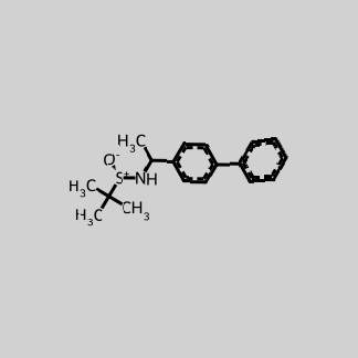 CC(N[S@@+]([O-])C(C)(C)C)c1ccc(-c2ccccc2)cc1